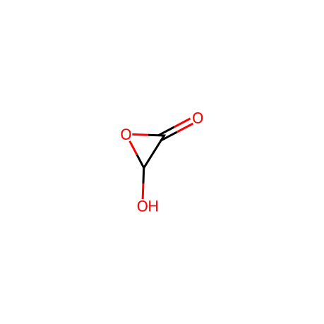 O=C1OC1O